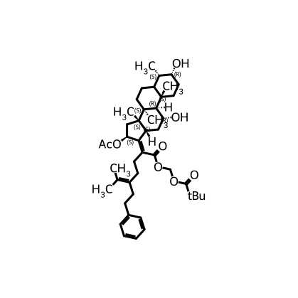 CC(=O)O[C@H]1C[C@@]2(C)[C@H](C[C@@H](O)[C@@H]3[C@@]4(C)CC[C@@H](O)[C@@H](C)C4CC[C@@]32C)C1=C(CCC(CCc1ccccc1)=C(C)C)C(=O)OCOC(=O)C(C)(C)C